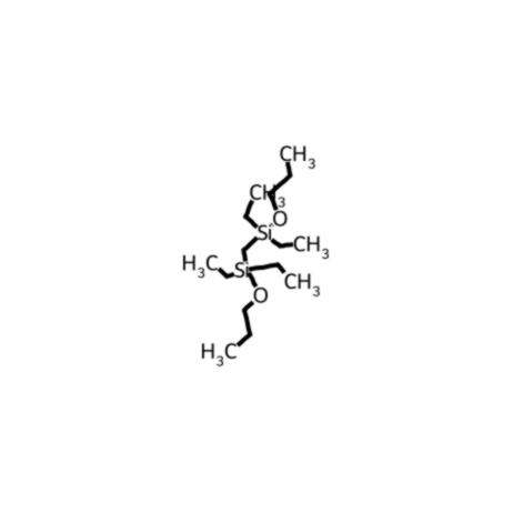 CCCO[Si](CC)(CC)C[Si](CC)(CC)OCCC